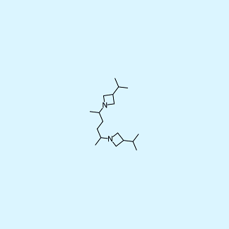 CC(C)C1CN(C(C)CCC(C)N2CC(C(C)C)C2)C1